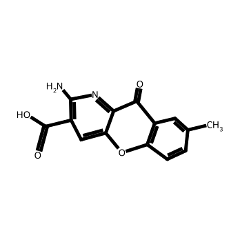 Cc1ccc2oc3cc(C(=O)O)c(N)nc3c(=O)c2c1